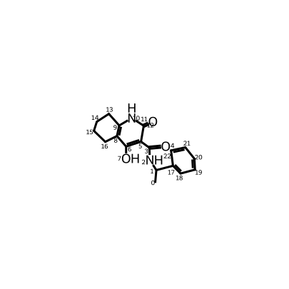 CC(NC(=O)c1c(O)c2c([nH]c1=O)CCCC2)c1ccccc1